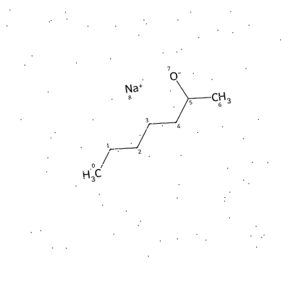 CCCCCC(C)[O-].[Na+]